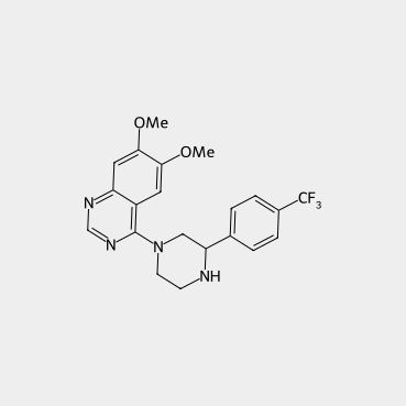 COc1cc2ncnc(N3CCNC(c4ccc(C(F)(F)F)cc4)C3)c2cc1OC